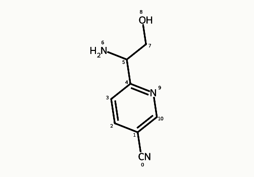 N#Cc1ccc(C(N)CO)nc1